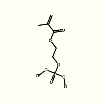 C=C(C)C(=O)OCCOP(=O)(OCl)OCl